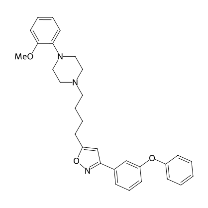 COc1ccccc1N1CCN(CCCCc2cc(-c3cccc(Oc4ccccc4)c3)no2)CC1